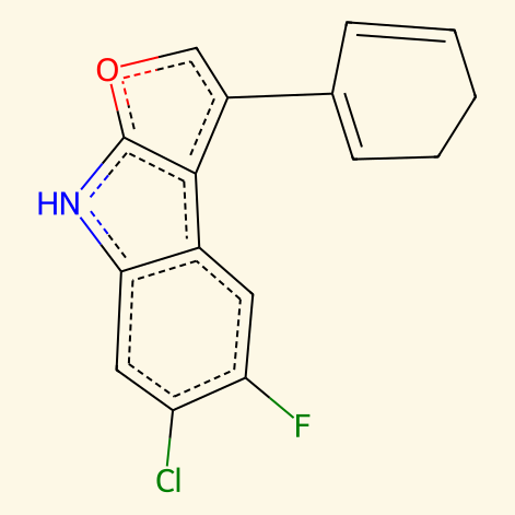 Fc1cc2c(cc1Cl)[nH]c1occ(C3=CCCC=C3)c12